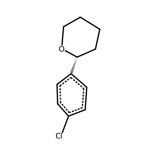 Clc1ccc([C@H]2CCCCO2)cc1